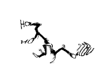 CN(CCOC(C)(C)C)CC(O)CO